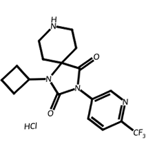 Cl.O=C1N(c2ccc(C(F)(F)F)nc2)C(=O)C2(CCNCC2)N1C1CCC1